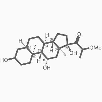 COC(C)C(=O)[C@@]1(O)CC[C@H]2[C@@H]3CC[C@@H]4CC(O)CC[C@]4(C)[C@H]3[C@@H](O)C[C@@]21C